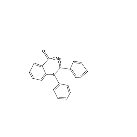 COC(=O)c1ccccc1N(C(=O)c1ccccc1)c1ccccc1